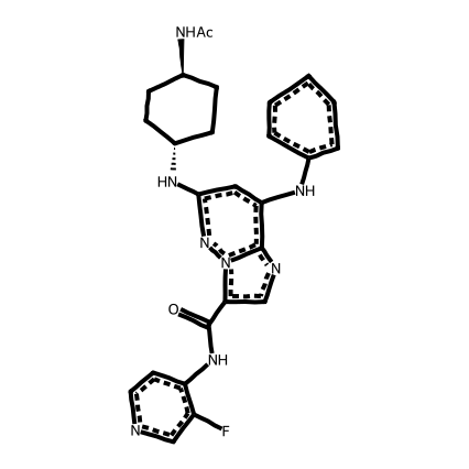 CC(=O)N[C@H]1CC[C@H](Nc2cc(Nc3ccccc3)c3ncc(C(=O)Nc4ccncc4F)n3n2)CC1